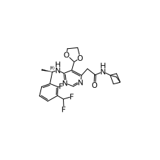 C[C@@H](Nc1ncnc(CC(=O)NC23CC(C2)C3)c1C1OCCO1)c1cccc(C(F)F)c1F